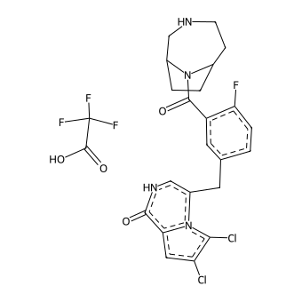 O=C(O)C(F)(F)F.O=C(c1cc(Cc2c[nH]c(=O)c3cc(Cl)c(Cl)n23)ccc1F)N1C2CCNCC1CC2